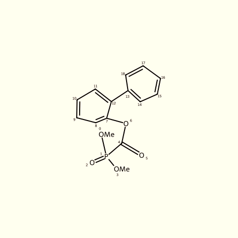 COP(=O)(OC)C(=O)Oc1ccccc1-c1ccccc1